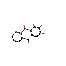 O=C(O)c1cc2c(c(Cl)c1C(=O)O)C(=O)c1ccccc1C2=O